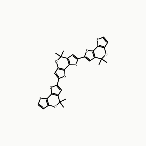 CC1(C)Oc2ccsc2-c2sc(-c3cc4c(s3)-c3sc(-c5cc6c(s5)-c5sccc5OC6(C)C)cc3C(C)(C)O4)cc21